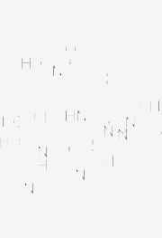 Cn1ccc2c([C@H](Nc3cc(Cl)c4ncc(C#N)c(NCC(C)(C)C)c4c3)c3cn(C4(C)CCC4)nn3)cccc2c1=O